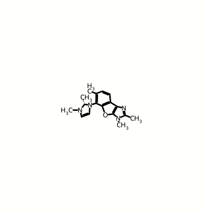 Cc1ccc2c(oc3c2nc(C)n3C)c1N1C=CN(C)[C@@H]1C